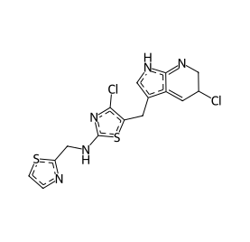 Clc1nc(NCc2nccs2)sc1Cc1c[nH]c2c1=CC(Cl)CN=2